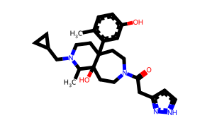 Cc1ccc(O)cc1C12CCN(C(=O)Cc3cc[nH]n3)CCC1(O)C(C)N(CC1CC1)CC2